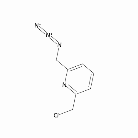 [N-]=[N+]=NCc1cccc(CCl)n1